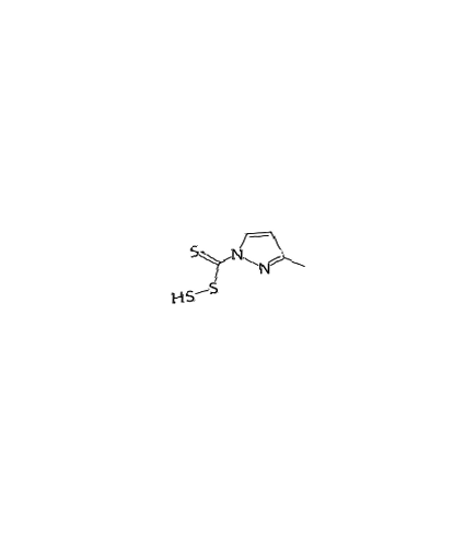 Cc1ccn(C(=S)SS)n1